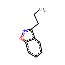 CCCc1noc2ccc[c]c12